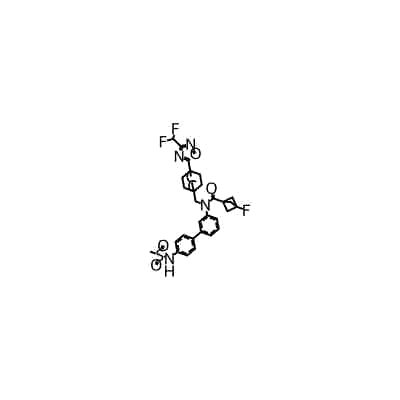 CS(=O)(=O)Nc1ccc(-c2cccc(N(CC34CCC(c5nc(C(F)F)no5)(CC3)CC4)C(=O)C34CC(F)(C3)C4)c2)cc1